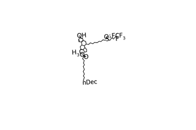 CCCCCCCCCCCCCCCCCCCCCC(=O)OC1CCC2C3C(CCCCCCCCC[S+]([O-])CCCC(F)(F)C(F)(F)F)Cc4cc(O)ccc4C3CCC12C